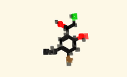 COc1cc(C(=O)CCl)c(O)cc1Br